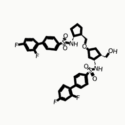 O=S(=O)(N[C@@H]1CCC[C@H]1COC1C[C@H](CO)[C@H](NS(=O)(=O)c2ccc(-c3ccc(F)cc3F)cc2)C1)c1ccc(-c2ccc(F)cc2F)cc1